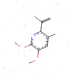 Bc1cc(OC)c(OC)nc1C(=C)C